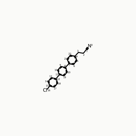 N#CCCc1ccc(-c2ccc(-c3ccc(Cl)cc3)cc2)cc1